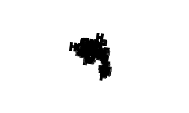 CC1(C)CCN(c2c(-c3ccc(OCCc4ccc(F)cc4)c(F)c3)c(N)nc(Cl)c2C(OC(C)(C)C)C(=O)O)CC1